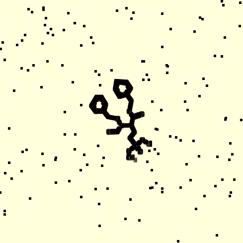 COP(=O)(CCC(C(=O)OCc1ccccc1)N(C=O)OCc1ccccc1)OCl